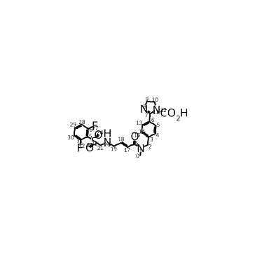 CN(Cc1ccc(C2=NCCN2C(=O)O)cc1)C(=O)C=CCNCS(=O)(=O)c1c(F)cccc1F